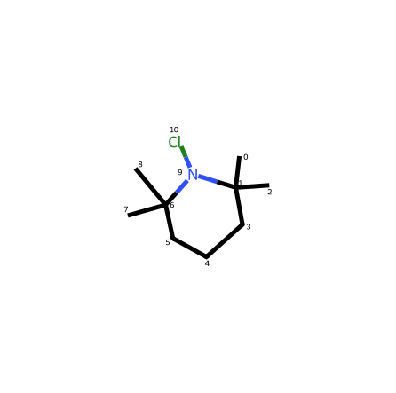 CC1(C)CCCC(C)(C)N1Cl